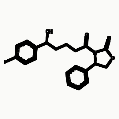 O=C(CCCC(O)c1ccc(F)cc1)N1C(=O)OCC1c1ccccc1